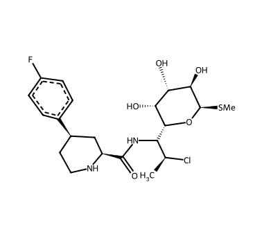 CS[C@H]1O[C@H](C(NC(=O)[C@@H]2C[C@H](c3ccc(F)cc3)CCN2)[C@H](C)Cl)[C@H](O)[C@H](O)[C@H]1O